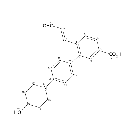 O=CC=Cc1ccc(C(=O)O)cc1-c1ccc(N2CCC(O)CC2)cc1